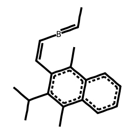 C/C=B\C=C/c1c(C(C)C)c(C)c2ccccc2c1C